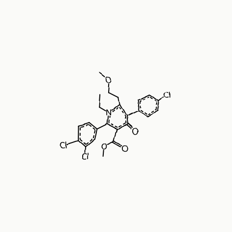 CCn1c(CCOC)c(-c2ccc(Cl)cc2)c(=O)c(C(=O)OC)c1-c1ccc(Cl)c(Cl)c1